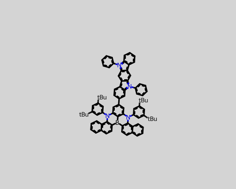 CC(C)(C)c1cc(N2c3cc(-c4ccc5c6cc7c(cc6n(-c6ccccc6)c5c4)c4ccccc4n7-c4ccccc4)cc4c3B(c3ccc5ccccc5c32)c2ccc3ccccc3c2N4c2cc(C(C)(C)C)cc(C(C)(C)C)c2)cc(C(C)(C)C)c1